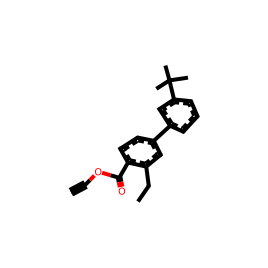 C#COC(=O)c1ccc(-c2cccc(C(C)(C)C)c2)cc1CC